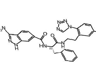 Nc1n[nH]c2cc(C(=O)N[C@@H](Cc3ccccc3)C(=O)NCCc3cc(Cl)ccc3-n3cnnn3)ccc12